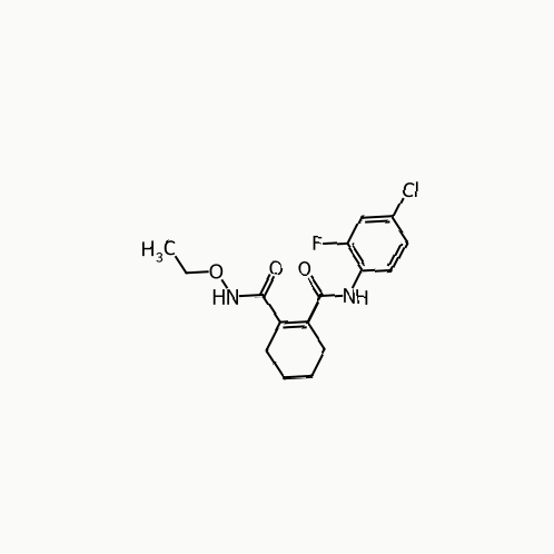 CCONC(=O)C1=C(C(=O)Nc2ccc(Cl)cc2F)CCCC1